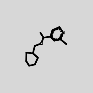 Cc1cc(C(C)OCC2CCCCC2)ccn1